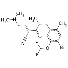 Cc1cc(Br)c(OC(F)F)cc1CC(C)C(=O)/C(C#N)=C/CN(C)C